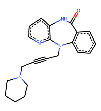 O=C1Nc2cccnc2N(CC#CCN2CCCCC2)c2ccccc21